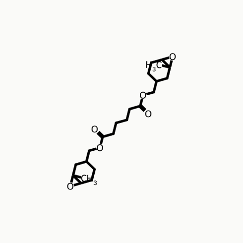 CC12CC(COC(=O)CCCCC(=O)OCC3CCC4OC4(C)C3)CCC1O2